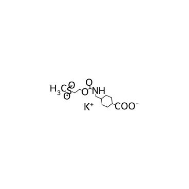 CS(=O)(=O)CCOC(=O)NCC1CCC(C(=O)[O-])CC1.[K+]